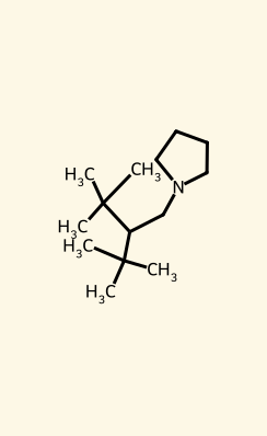 CC(C)(C)C(CN1CCCC1)C(C)(C)C